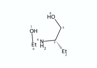 CCO.CC[C@H](N)CO